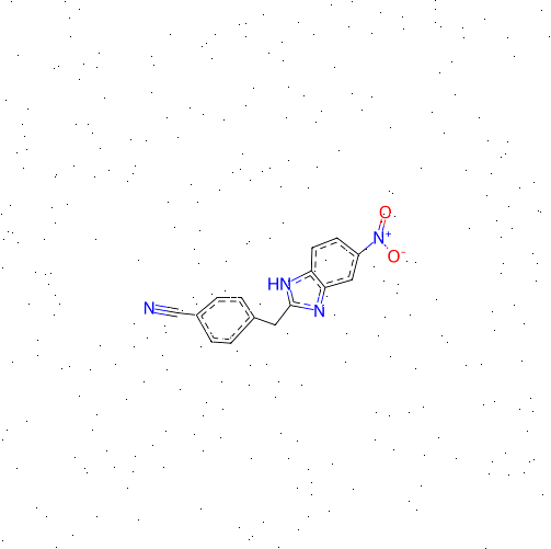 N#Cc1ccc(Cc2nc3cc([N+](=O)[O-])ccc3[nH]2)cc1